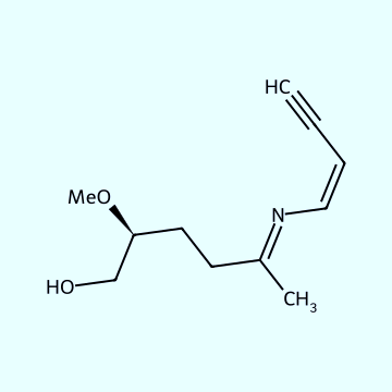 C#C/C=C\N=C(/C)CC[C@@H](CO)OC